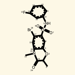 CC1Oc2cc(S(=O)(=O)Nc3cccc(F)c3)c(Br)cc2N(C)C1=O